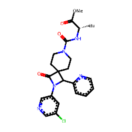 CCC(C)[C@H](NC(=O)N1CCC2(CC1)C(=O)N(c1cncc(Cl)c1)C2c1ccccn1)C(=O)OC